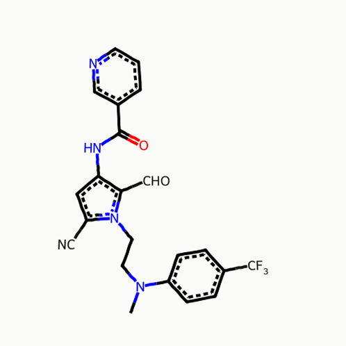 CN(CCn1c(C#N)cc(NC(=O)c2cccnc2)c1C=O)c1ccc(C(F)(F)F)cc1